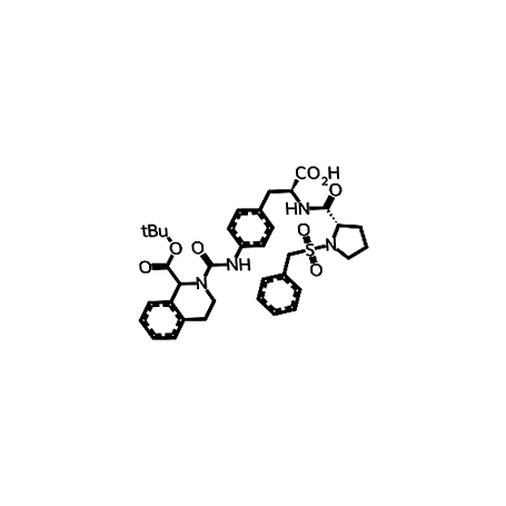 CC(C)(C)OC(=O)C1c2ccccc2CCN1C(=O)Nc1ccc(C[C@H](NC(=O)[C@@H]2CCCN2S(=O)(=O)Cc2ccccc2)C(=O)O)cc1